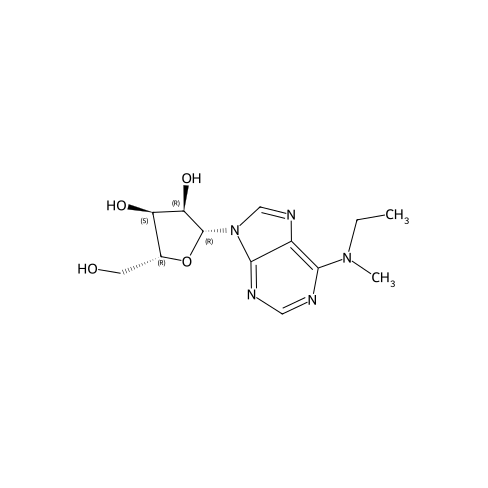 CCN(C)c1ncnc2c1ncn2[C@@H]1O[C@H](CO)[C@@H](O)[C@H]1O